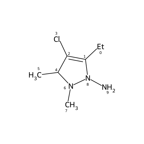 CCC1=C(Cl)C(C)N(C)N1N